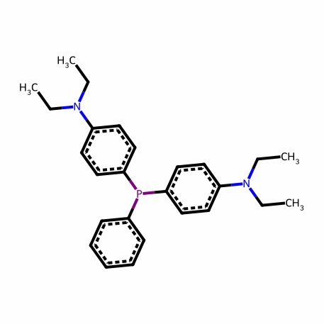 CCN(CC)c1ccc(P(c2ccccc2)c2ccc(N(CC)CC)cc2)cc1